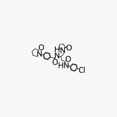 O=C(CC(CN1CCCC1=O)NC(=O)c1ccc(N2CCCCC2=O)cc1)Nc1ccc(Cl)cc1